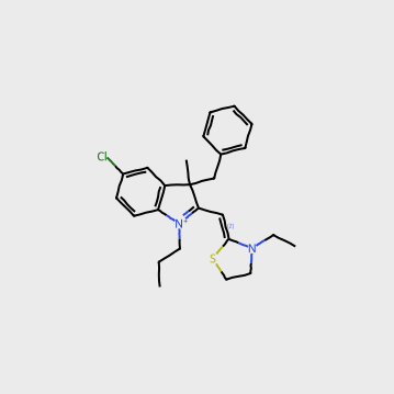 CCC[N+]1=C(/C=C2\SCCN2CC)C(C)(Cc2ccccc2)c2cc(Cl)ccc21